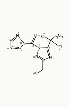 CC(C)Cc1nc(C(Cl)(Cl)C(Cl)(Cl)Cl)n(C(=O)n2cncn2)n1